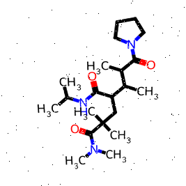 CC(C)NC(=O)C(CC(C)(C)C(=O)N(C)C)C(C)C(C)C(=O)N1CCCC1